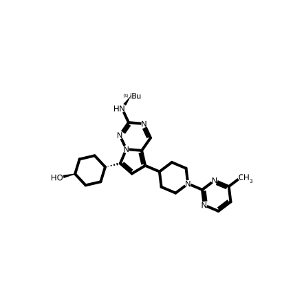 CC[C@H](C)Nc1ncc2c(C3CCN(c4nccc(C)n4)CC3)cc([C@H]3CC[C@H](O)CC3)n2n1